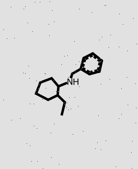 CCC1CCCCC1NCc1ccccc1